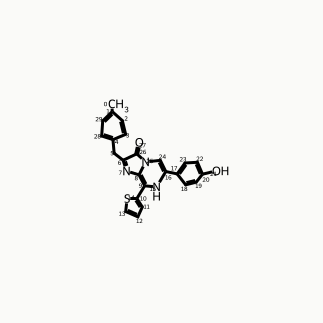 Cc1ccc(Cc2nc3c(-c4cccs4)[nH]c(-c4ccc(O)cc4)cn-3c2=O)cc1